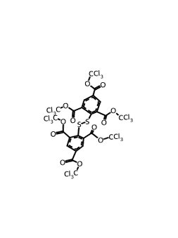 O=C(OC(Cl)(Cl)Cl)c1cc(C(=O)OC(Cl)(Cl)Cl)c(SSc2c(C(=O)OC(Cl)(Cl)Cl)cc(C(=O)OC(Cl)(Cl)Cl)cc2C(=O)OC(Cl)(Cl)Cl)c(C(=O)OC(Cl)(Cl)Cl)c1